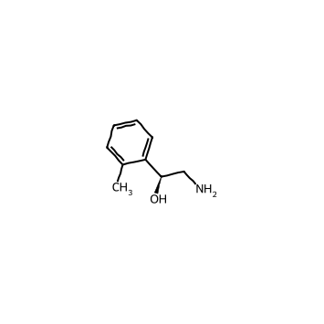 Cc1ccccc1[C@H](O)CN